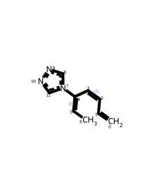 C=C/C=C\C(=C/C)n1cnnc1